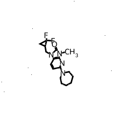 Cn1c(=O)n(CC2CC2(F)F)c2ccc(N3CCCCCC3)nc21